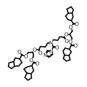 O=C(CCCN(CCCC(=O)OC(COC(=O)C1CCC2CCCC2C1)COC(=O)C1CCC2CCCC2C1)C(=O)n1ccnc1)OC(COC(=O)C1CCC2CCCC2C1)COC(=O)C1CCC2CCCC2C1